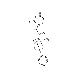 CC12CC3CC(c4ccccc4)(C1)CC2(C(=O)N[C@@H]1CCNC[C@H]1F)C3